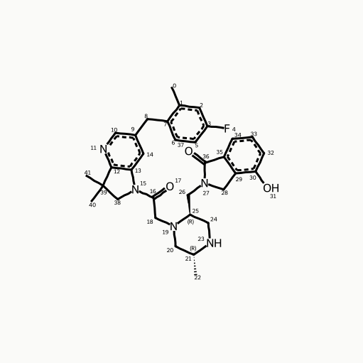 Cc1cc(F)ccc1Cc1cnc2c(c1)N(C(=O)CN1C[C@@H](C)NC[C@@H]1CN1Cc3c(O)cccc3C1=O)CC2(C)C